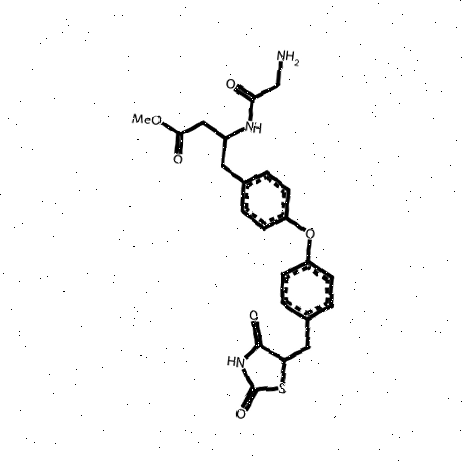 COC(=O)CC(Cc1ccc(Oc2ccc(CC3SC(=O)NC3=O)cc2)cc1)NC(=O)CN